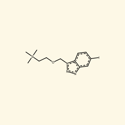 C[Si](C)(C)CCOCn1nnc2cc(I)ccc21